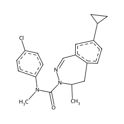 CC1Cc2ccc(C3CC3)cc2C=NN1C(=O)N(C)c1ccc(Cl)cc1